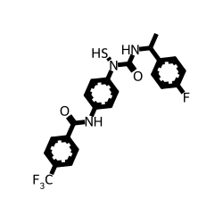 CC(NC(=O)N(S)c1ccc(NC(=O)c2ccc(C(F)(F)F)cc2)cc1)c1ccc(F)cc1